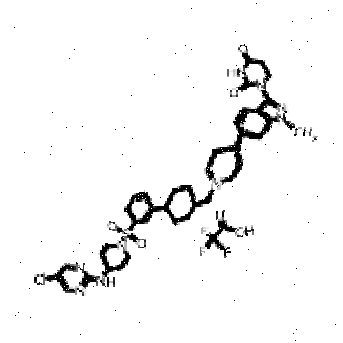 Cn1nc(N2CCC(=O)NC2=O)c2ccc(C3CCN(CC4CCC(c5cccc(S(=O)(=O)N6CCC(Nc7ncc(Cl)cn7)CC6)c5)CC4)CC3)cc21.O=C(O)C(F)(F)F